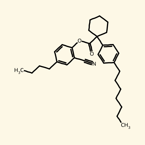 CCCCCCCc1ccc(C2(C(=O)Oc3ccc(CCCC)cc3C#N)CCCCC2)cc1